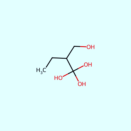 CCC(CO)C(O)(O)O